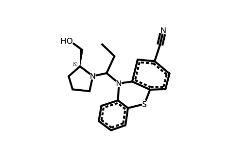 CCC(N1c2ccccc2Sc2ccc(C#N)cc21)N1CCC[C@H]1CO